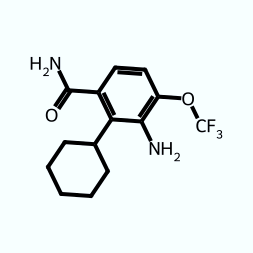 NC(=O)c1ccc(OC(F)(F)F)c(N)c1C1CCCCC1